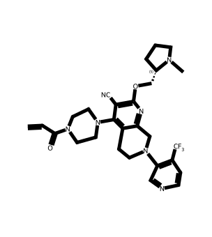 C=CC(=O)N1CCN(c2c(C#N)c(OC[C@@H]3CCCN3C)nc3c2CCN(c2cnccc2C(F)(F)F)C3)CC1